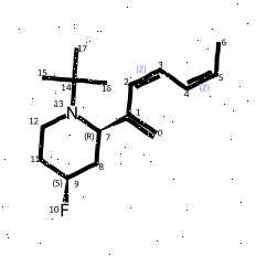 C=C(/C=C\C=C/C)[C@H]1C[C@@H](F)CCN1C(C)(C)C